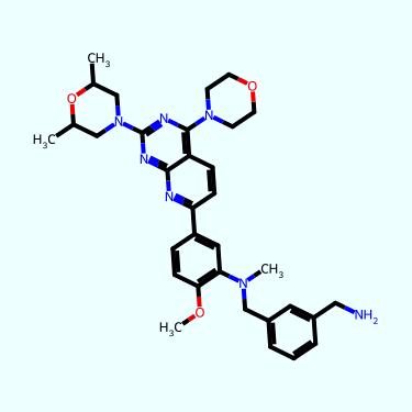 COc1ccc(-c2ccc3c(N4CCOCC4)nc(N4CC(C)OC(C)C4)nc3n2)cc1N(C)Cc1cccc(CN)c1